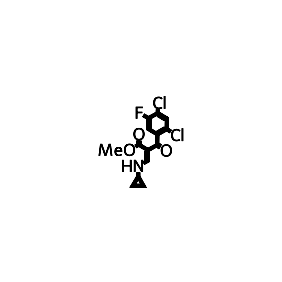 COC(=O)C(=CNC1CC1)C(=O)c1cc(F)c(Cl)cc1Cl